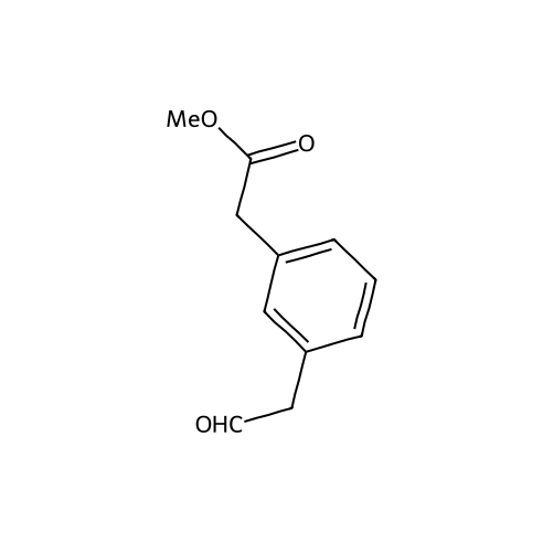 COC(=O)Cc1cccc(CC=O)c1